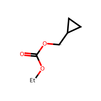 CCOC(=O)O[CH]C1CC1